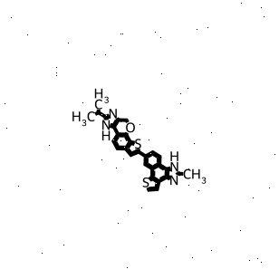 Cc1nc2c3ccsc3c3cc(-c4cc5ccc6c(c5s4)OCc4nc(C(C)C)[nH]c4-6)ccc3c2[nH]1